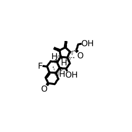 C=C1C(=C)[C@H]2[C@@H]3CC(F)C4=CC(=O)CC[C@]4(C)[C@H]3C(O)C[C@]2(C)[C@H]1C(=O)CO